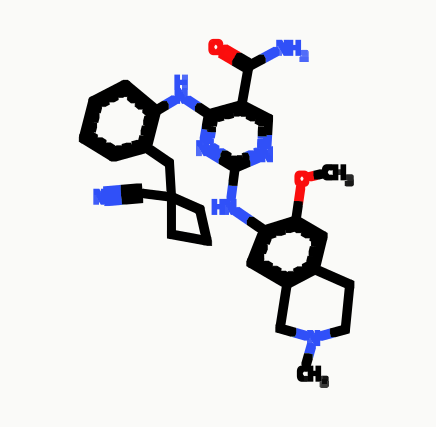 COc1cc2c(cc1Nc1ncc(C(N)=O)c(Nc3ccccc3CC3(C#N)CCC3)n1)CN(C)CC2